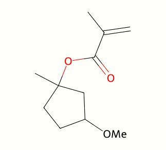 C=C(C)C(=O)OC1(C)CCC(OC)C1